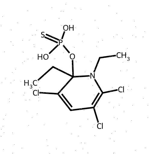 CCN1C(Cl)=C(Cl)C=C(Cl)C1(CC)OP(O)(O)=S